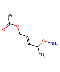 CCCC(=O)OC/C=C/C(C)ON